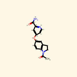 CC(=O)N1CCc2cc(Oc3ccnc(C(N)=O)c3)ccc21